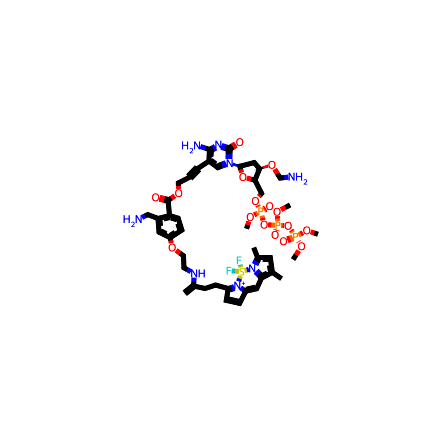 C=C(CCC1=[N+]2C(=Cc3c(C)cc(C)n3S2(F)F)C=C1)NCCOc1ccc(C(=O)OCC#Cc2cn([C@H]3C[C@@H](OCN)C(COP(=O)(OC)OP(=O)(OC)OP(=O)(OC)OC)O3)c(=O)nc2N)c(CN)c1